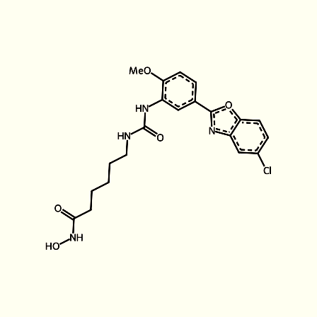 COc1ccc(-c2nc3cc(Cl)ccc3o2)cc1NC(=O)NCCCCCC(=O)NO